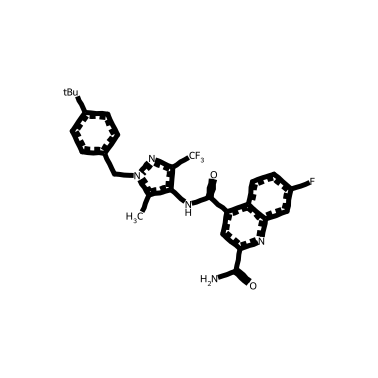 Cc1c(NC(=O)c2cc(C(N)=O)nc3cc(F)ccc23)c(C(F)(F)F)nn1Cc1ccc(C(C)(C)C)cc1